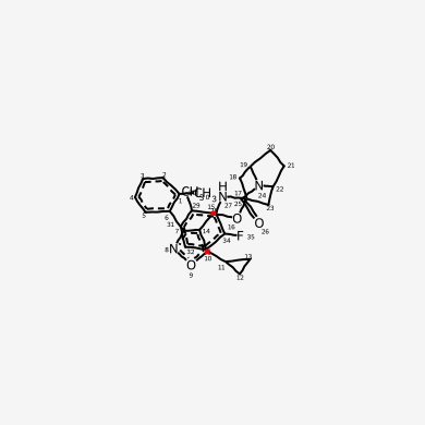 Cc1ccccc1-c1noc(C2CC2)c1COC1CC2CCC(C1)N2C(=O)Nc1c(C)cccc1F